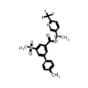 Cc1ccc(-c2cc(C(=O)N[C@H](C)c3ccc(C(F)(F)F)nc3)cc(S(C)(=O)=O)c2)cc1